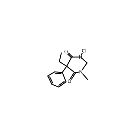 CCC1(c2ccccc2)C(=O)N(C)CN(Cl)C1=O